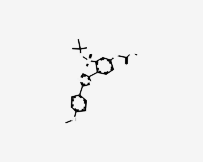 CNc1ccc(-c2ncc(-c3ccc(NC(=O)OC)cc3S(=O)(=O)NC(C)(C)C)s2)cc1